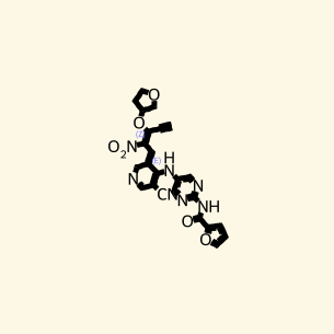 C#C/C(OC1CCOC1)=C(\C=C1/CN=CC(C#N)=C1Nc1cnc(NC(=O)c2ccco2)nc1)[N+](=O)[O-]